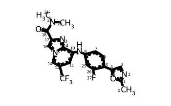 Cc1ncc(-c2ccc(Nc3cc(C(F)(F)F)cn4cc(C(=O)N(C)C)nc34)cc2F)o1